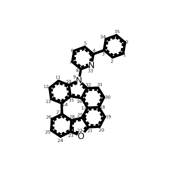 c1ccc(-c2cccc(-n3c4cccc5c4c4c6c(ccc7oc8cccc-5c8c76)ccc43)n2)cc1